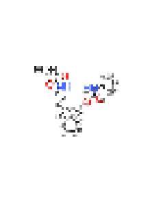 CNC(=O)C(=O)NCCCCCC1=CC=CCC(C)=C1CCCOCC(=O)NC1CC=CCC1